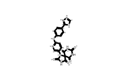 O=C1NC(=O)C2(C(=O)N1)C(=O)NC(=O)N2c1ccc(Oc2ccc(-c3nnco3)cc2)nc1